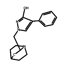 Oc1nn(CC2CC3CCN2CC3)cc1-c1ccccc1